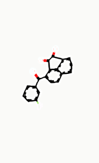 O=C(c1cccc(F)c1)c1ccc2cccc3c2c1C(=O)C3=O